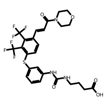 O=C(O)CCCNC(=O)Nc1cccc(Sc2ccc(C=CC(=O)N3CCOCC3)c(C(F)(F)F)c2C(F)(F)F)c1